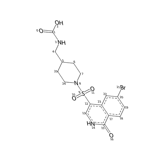 O=C(O)NCC1CCN(S(=O)(=O)c2c[nH]c(=O)c3ccc(Br)cc23)CC1